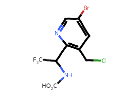 O=C(O)NC(c1ncc(Br)cc1CCl)C(F)(F)F